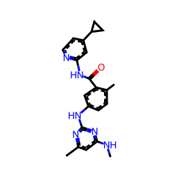 CNc1cc(C)nc(Nc2ccc(C)c(C(=O)Nc3cc(C4CC4)ccn3)c2)n1